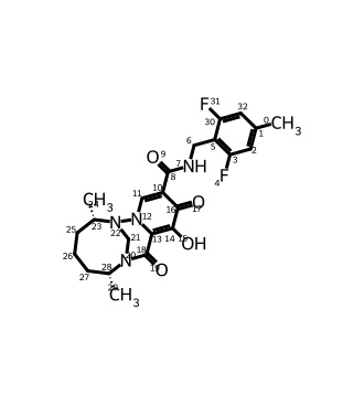 Cc1cc(F)c(CNC(=O)c2cn3c(c(O)c2=O)C(=O)N2CN3[C@@H](C)CCC[C@H]2C)c(F)c1